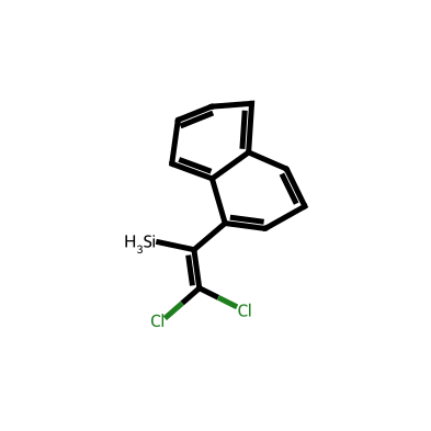 [SiH3]C(=C(Cl)Cl)c1cccc2ccccc12